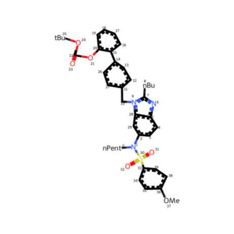 CCCCCN(c1ccc2nc(CCCC)n(Cc3ccc(-c4ccccc4OC(=O)OC(C)(C)C)cc3)c2c1)S(=O)(=O)c1ccc(OC)cc1